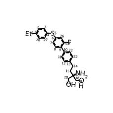 CCc1ccc(Sc2ccc(-c3ccc(CCC(N)(CO)CO)cc3)c(F)c2)cc1